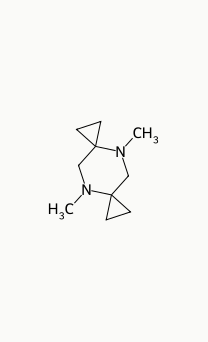 CN1CC2(CC2)N(C)CC12CC2